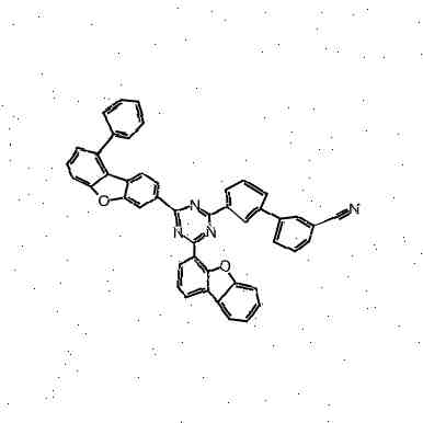 N#Cc1cccc(-c2cccc(-c3nc(-c4ccc5c(c4)oc4cccc(-c6ccccc6)c45)nc(-c4cccc5c4oc4ccccc45)n3)c2)c1